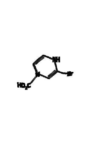 O=C(O)N1C=CNC(Br)=C1